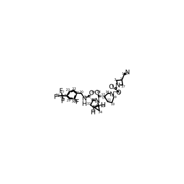 N#CC1CN(S(=O)(=O)N2CCC[C@H](C(=O)N3[C@@H](C(=O)NCc4ccc(C(F)(F)F)cc4F)C[C@H]4C[C@H]43)C2)C1